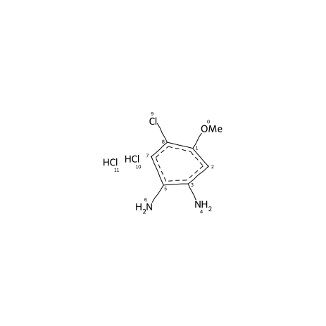 COc1cc(N)c(N)cc1Cl.Cl.Cl